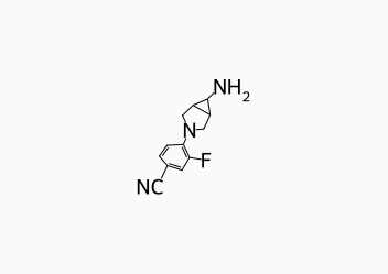 N#Cc1ccc(N2CC3C(N)C3C2)c(F)c1